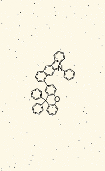 c1ccc(-n2c3ccccc3c3cc4cccc(-c5ccc6c(c5)C(c5ccccc5)(c5ccccc5)c5ccccc5O6)c4cc32)cc1